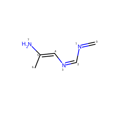 C=N/C=N\C=C(/C)N